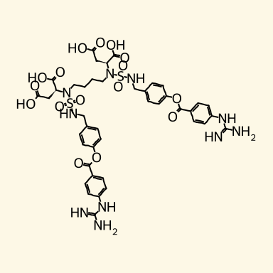 N=C(N)Nc1ccc(C(=O)Oc2ccc(CNS(=O)(=O)N(CCCCN([C@@H](CC(=O)O)C(=O)O)S(=O)(=O)NCc3ccc(OC(=O)c4ccc(NC(=N)N)cc4)cc3)[C@@H](CC(=O)O)C(=O)O)cc2)cc1